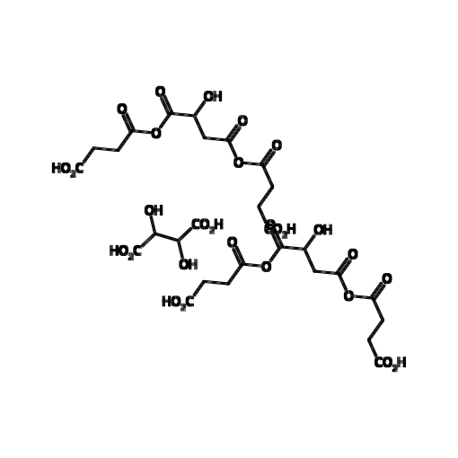 O=C(O)C(O)C(O)C(=O)O.O=C(O)CCC(=O)OC(=O)CC(O)C(=O)OC(=O)CCC(=O)O.O=C(O)CCC(=O)OC(=O)CC(O)C(=O)OC(=O)CCC(=O)O